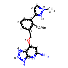 COc1c(COc2cc(N)nc3[nH]nnc23)cccc1-c1ccn(C)n1